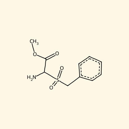 COC(=O)C(N)S(=O)(=O)Cc1ccccc1